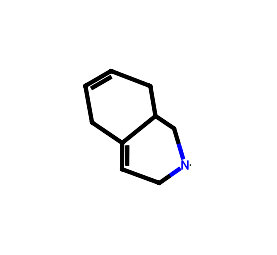 C1=CCC2C[N]CC=C2C1